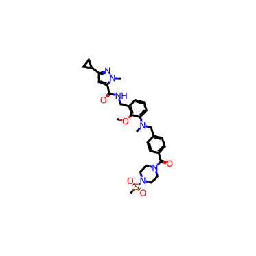 COc1c(CNC(=O)c2cc(C3CC3)nn2C)cccc1N(C)Cc1ccc(C(=O)N2CCN(S(C)(=O)=O)CC2)cc1